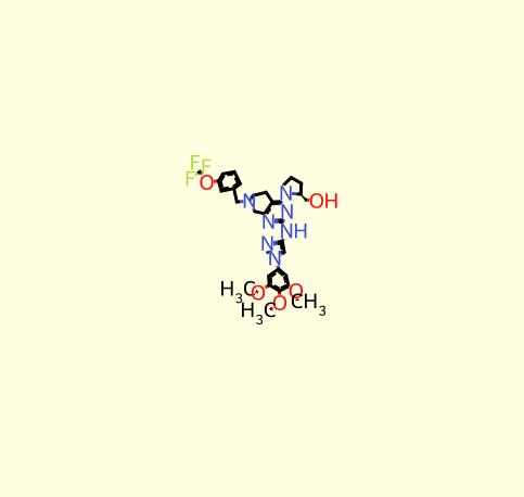 COc1cc(-n2cnc(Nc3nc4c(c(N5CCC[C@H]5CO)n3)CCN(Cc3cccc(OC(F)(F)F)c3)C4)c2)cc(OC)c1OC